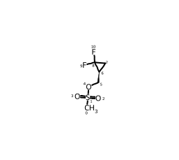 CS(=O)(=O)OC[C@@H]1CC1(F)F